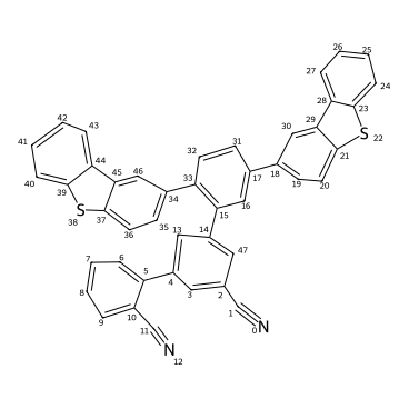 N#Cc1cc(-c2ccccc2C#N)cc(-c2cc(-c3ccc4sc5ccccc5c4c3)ccc2-c2ccc3sc4ccccc4c3c2)c1